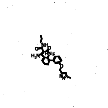 CCCNC(=O)c1c(N)c2cccc(-c3cc(OCc4cn(C)nn4)ccc3F)c2[nH]c1=O